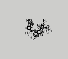 COC1(c2cc3c(N[C@H](C)c4cccc(C(F)(F)CO)c4)nc(C)nc3c(=O)n2C)C[C@@H](C)N(C(C)=O)C1